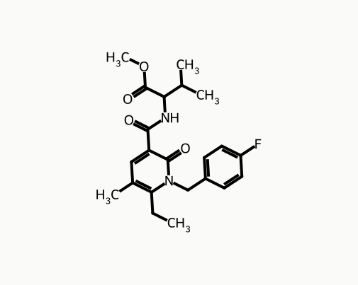 CCc1c(C)cc(C(=O)NC(C(=O)OC)C(C)C)c(=O)n1Cc1ccc(F)cc1